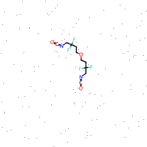 O=C=NCC(F)(F)CCOCCC(F)(F)CN=C=O